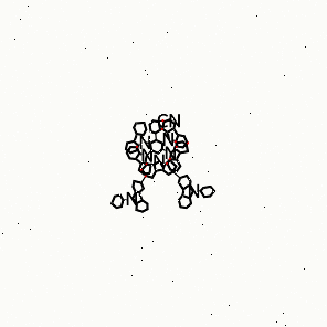 N#Cc1cccc(-c2c(-n3c4ccccc4c4ccccc43)c(-n3c4ccccc4c4ccccc43)c(-n3c4ccc(-c5ccc6c(c5)c5ccccc5n6-c5ccccc5)cc4c4cc(-c5ccc6c(c5)c5ccccc5n6-c5ccccc5)ccc43)c(-n3c4ccccc4c4ccccc43)c2-n2c3ccccc3c3ccccc32)c1